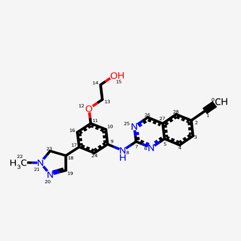 C#Cc1ccc2nc(Nc3cc(OCCO)cc(C4C=NN(C)C4)c3)ncc2c1